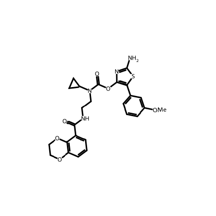 COc1cccc(-c2sc(N)nc2OC(=O)N(CCNC(=O)c2cccc3c2OCCO3)C2CC2)c1